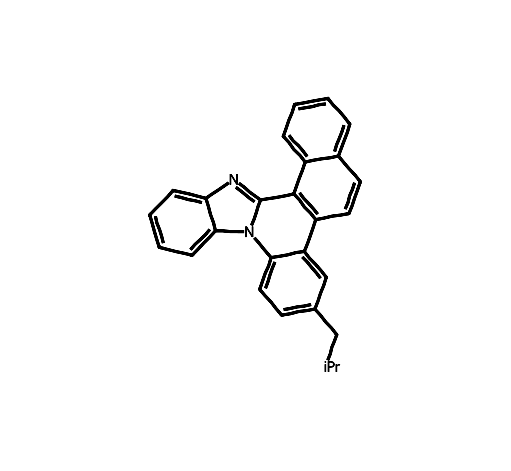 CC(C)Cc1ccc2c(c1)c1ccc3ccccc3c1c1nc3ccccc3n21